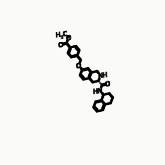 COC(=O)c1ccc(COc2ccc3c(c2)CN[C@H](C(=O)NC2CCCc4ccccc42)C3)cc1